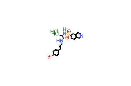 CC(CNCC=Cc1ccc(Br)cc1)NS(=O)(=O)c1ccc2cnccc2c1.Cl.Cl